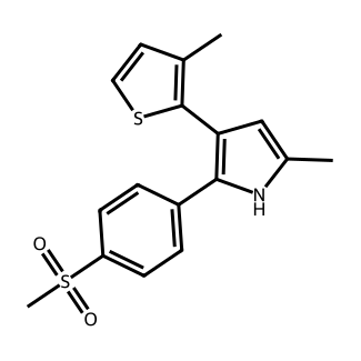 Cc1cc(-c2sccc2C)c(-c2ccc(S(C)(=O)=O)cc2)[nH]1